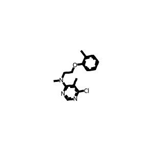 Cc1ccccc1OCCN(C)c1ncnc(Cl)c1C